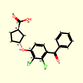 O=C(c1ccccc1)c1ccc(O[C@@H]2CC[C@@H](C(=O)O)C2)c(Cl)c1Cl